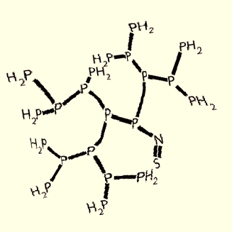 PP(P)P(P)P(P(N=S)P(P(P)P)P(P)P)P(P(P)P)P(P)P